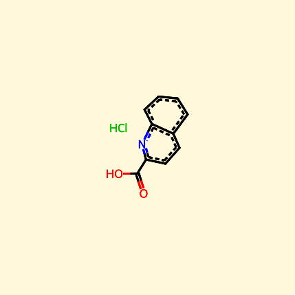 Cl.O=C(O)c1ccc2ccccc2n1